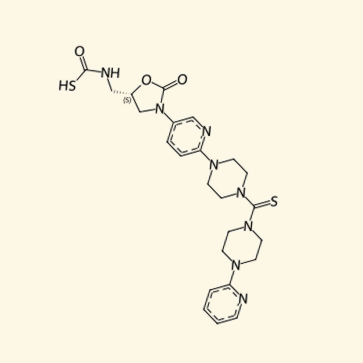 O=C(S)NC[C@H]1CN(c2ccc(N3CCN(C(=S)N4CCN(c5ccccn5)CC4)CC3)nc2)C(=O)O1